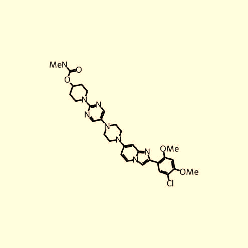 CNC(=O)OC1CCN(c2ncc(N3CCN(c4ccn5cc(-c6cc(Cl)c(OC)cc6OC)nc5c4)CC3)cn2)CC1